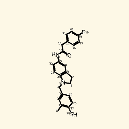 Cc1cc(CN2CCc3cc(NC(=O)Cc4ccc(F)cc4)ccc32)ccc1S